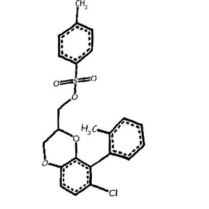 Cc1ccc(S(=O)(=O)OCC2COc3ccc(Cl)c(-c4ccccc4C)c3O2)cc1